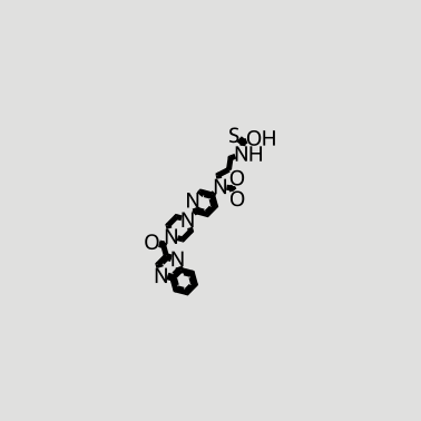 O=C(c1cnc2ccccc2n1)N1CCN(c2ccc(N3CC(CNC(O)=S)OC3=O)cn2)CC1